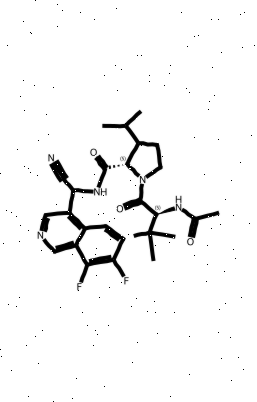 CC(=O)N[C@H](C(=O)N1CCC(C(C)C)[C@H]1C(=O)NC(C#N)c1cncc2c(F)c(F)ccc12)C(C)(C)C